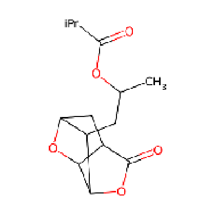 CC(CC1C2CC3C(=O)OC1C3O2)OC(=O)C(C)C